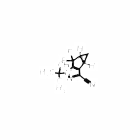 CC(C)(C)n1nc(C#N)c2c1C(F)(F)[C@@H]1C[C@H]21